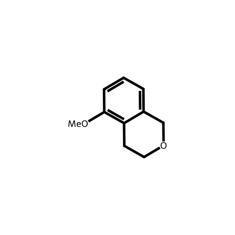 COc1cccc2c1CCOC2